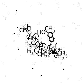 CC(C)[C@H](NC(=O)[C@](C)(C=Cc1ccc2ccc([C@@H](C)O)cc2c1)C(C)(C)O[SiH2]C(C)(C)C)C(=O)N[C@@H](C)C(=O)N1CCC[C@@H](C(=O)OCC(Cl)(Cl)Cl)N1